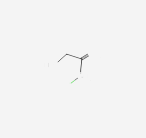 C=C(CC)[SiH2]Cl